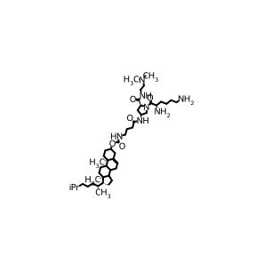 CC(C)CCC[C@@H](C)[C@H]1CCC2C3CC=C4CC(OC(=O)NCCCC(=O)N[C@H]5C[C@@H](C(=O)NCCN(C)C)N(C(=O)[C@H](N)CCCCN)C5)CC[C@]4(C)C3CC[C@@]21C